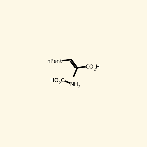 CCCCCC=C(C)C(=O)O.NC(=O)O